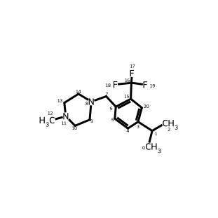 CC(C)c1ccc(CN2CCN(C)CC2)c(C(F)(F)F)c1